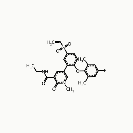 C=CS(=O)(=O)c1ccc(Oc2c(C)cc(F)cc2C)c(-c2cc(C(=O)NCC)c(=O)n(C)c2)c1